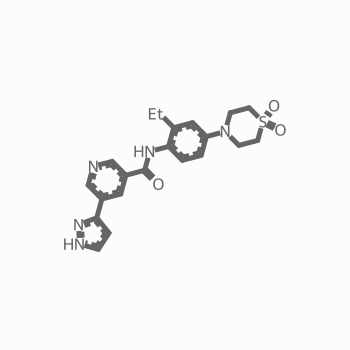 CCc1cc(N2CCS(=O)(=O)CC2)ccc1NC(=O)c1cncc(-c2cc[nH]n2)c1